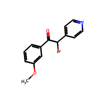 COc1cccc(C(=O)C(Br)c2ccncc2)c1